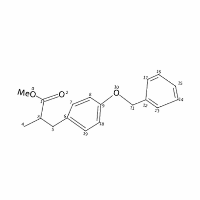 COC(=O)C(C)Cc1ccc(OCc2ccccc2)cc1